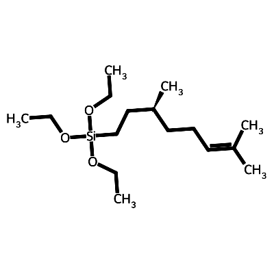 CCO[Si](CC[C@@H](C)CCC=C(C)C)(OCC)OCC